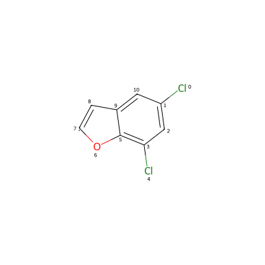 Clc1cc(Cl)c2o[c]cc2c1